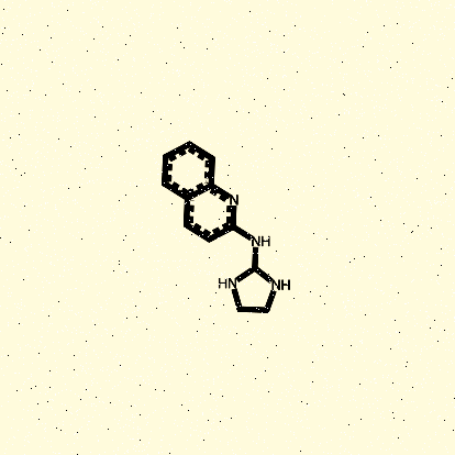 c1ccc2nc(NC3NCCN3)ccc2c1